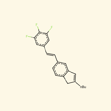 CCCCC1=Cc2cc(/C=C/c3cc(F)c(F)c(F)c3)ccc2C1